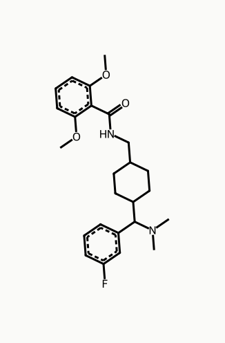 COc1cccc(OC)c1C(=O)NCC1CCC(C(c2cccc(F)c2)N(C)C)CC1